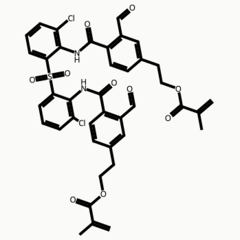 C=C(C)C(=O)OCCc1ccc(C(=O)Nc2c(Cl)cccc2S(=O)(=O)c2cccc(Cl)c2NC(=O)c2ccc(CCOC(=O)C(=C)C)cc2C=O)c(C=O)c1